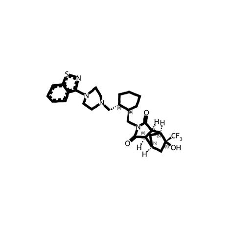 O=C1[C@@H]2[C@H]3C[C@@H]([C@@H]2C(=O)N1C[C@@H]1CCCC[C@H]1CN1CCN(c2nsc4ccccc24)CC1)[C@@](O)(C(F)(F)F)C3